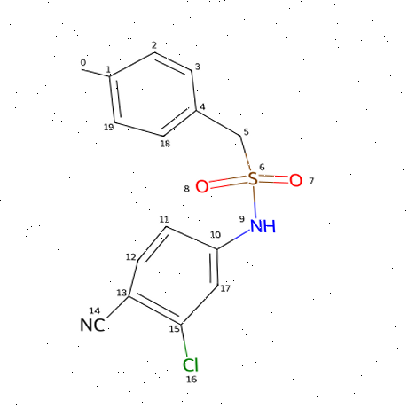 Cc1ccc(CS(=O)(=O)Nc2ccc(C#N)c(Cl)c2)cc1